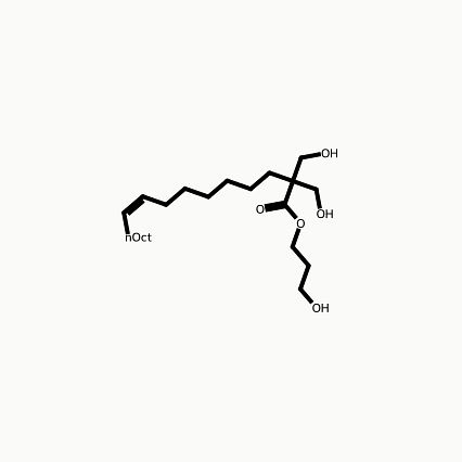 CCCCCCCC/C=C\CCCCCCC(CO)(CO)C(=O)OCCCO